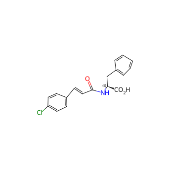 O=C(C=Cc1ccc(Cl)cc1)N[C@@H](Cc1ccccc1)C(=O)O